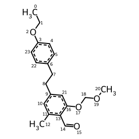 CCOc1ccc(CCc2cc(C)c(C=O)c(OCOC)c2)cc1